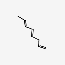 [CH]=CCC=CC=CC